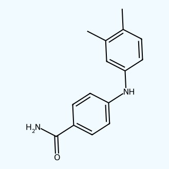 Cc1ccc(Nc2ccc(C(N)=O)cc2)cc1C